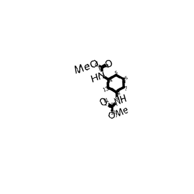 COC(=O)NC1CCCC(NC(=O)OC)C1